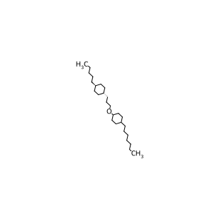 CCCCCCCC1CCC(OCCC[C@H]2CC[C@H](CCCCC)CC2)CC1